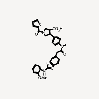 COc1ccccc1Nc1nc2ccc(CC(=O)N(C)c3ccc(C4CN(C(=O)c5cccs5)CC4C(=O)O)cc3)cc2o1